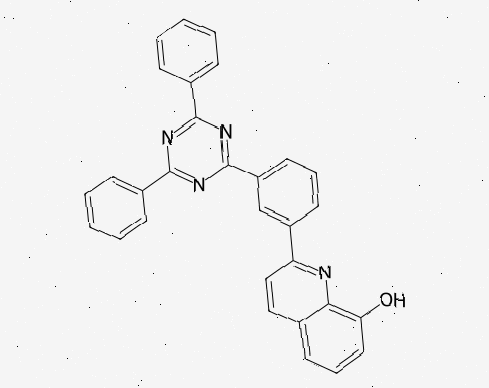 Oc1cccc2ccc(-c3cccc(-c4nc(-c5ccccc5)nc(-c5ccccc5)n4)c3)nc12